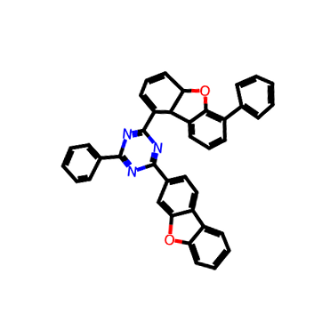 C1=CC2Oc3c(-c4ccccc4)cccc3C2C(c2nc(-c3ccccc3)nc(-c3ccc4c(c3)oc3ccccc34)n2)=C1